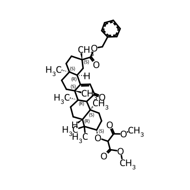 COC(=O)C(O[C@H]1CC[C@]2(C)C3C(=O)C=C4[C@@H]5C[C@@](C)(C(=O)OCc6ccccc6)CC[C@]5(C)CC[C@@]4(C)[C@]3(C)CC[C@H]2C1(C)C)C(=O)OC